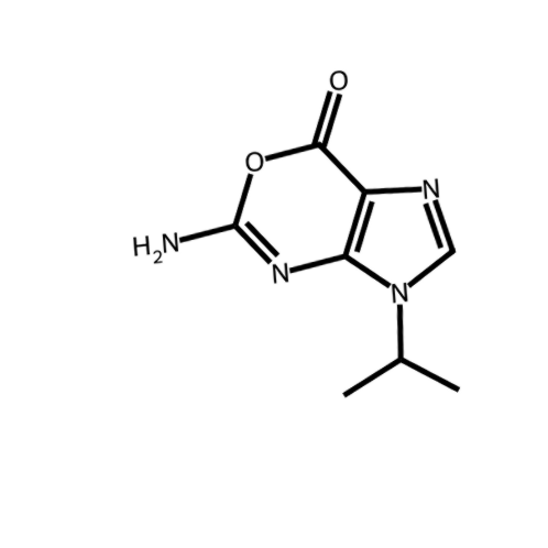 CC(C)n1cnc2c(=O)oc(N)nc21